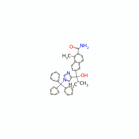 Cc1c(C(N)=O)ccc2cc(C(O)(c3cn(C(c4ccccc4)(c4ccccc4)c4ccccc4)cn3)C(C)C)ccc12